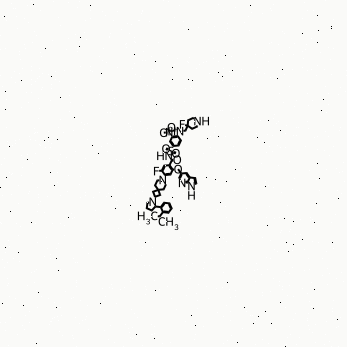 CC(C)c1ccccc1C1CCCN1C1CC2(CCN(c3cc(Oc4cnc5[nH]ccc5c4)c(C(=O)NS(=O)(=O)c4ccc(NCC5(F)CCNCC5)c([N+](=O)[O-])c4)cc3F)CC2)C1